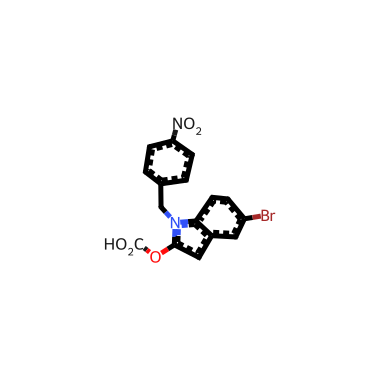 O=C(O)Oc1cc2cc(Br)ccc2n1Cc1ccc([N+](=O)[O-])cc1